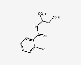 CC(=O)c1ccccc1C(=O)NC(CS(=O)(=O)O)C(=O)O